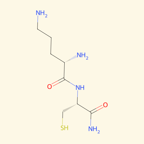 NCCC[C@H](N)C(=O)N[C@@H](CS)C(N)=O